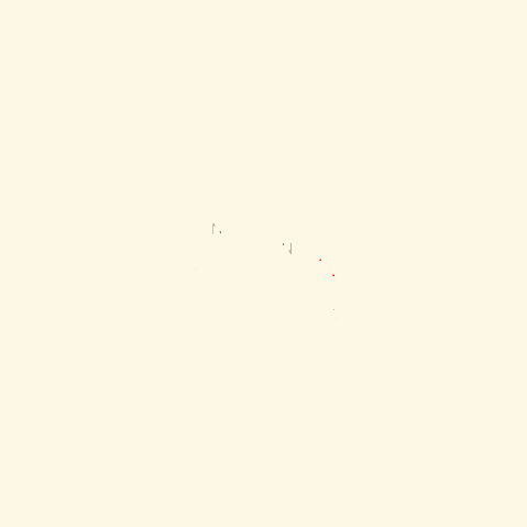 c1ccc(-c2ccccc2N(c2ccc3sc4ccccc4c3c2)c2ccc3c4ccccc4n(-c4ccccc4)c3c2)cc1